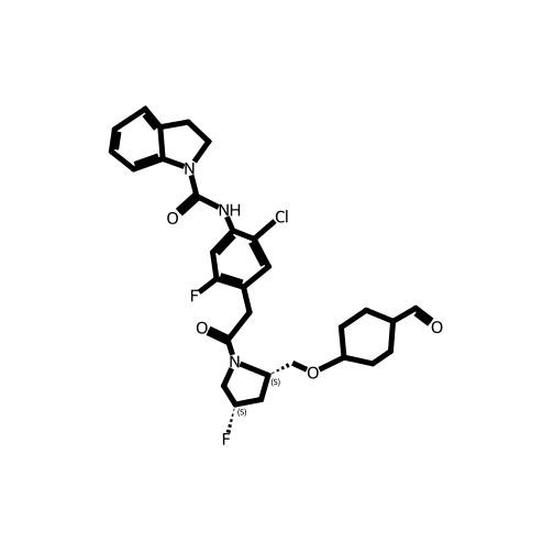 O=CC1CCC(OC[C@@H]2C[C@H](F)CN2C(=O)Cc2cc(Cl)c(NC(=O)N3CCc4ccccc43)cc2F)CC1